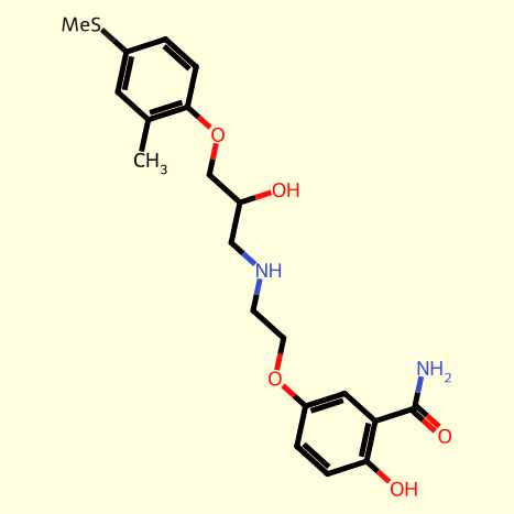 CSc1ccc(OCC(O)CNCCOc2ccc(O)c(C(N)=O)c2)c(C)c1